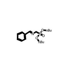 CCCCOP(=O)(CN=Cc1ccccc1)OCCCC